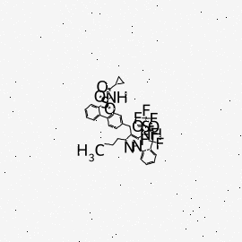 CCCCc1nn(-c2ccccc2C(F)(F)F)c(NS(=O)(=O)C(F)(F)F)c1Cc1ccc(-c2ccccc2S(=O)(=O)NC(=O)C2CC2)cc1